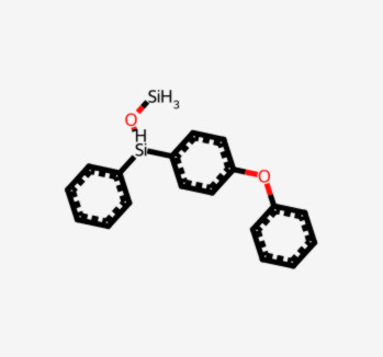 [SiH3]O[SiH](c1ccccc1)c1ccc(Oc2ccccc2)cc1